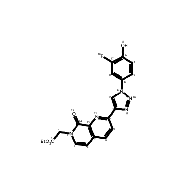 CCOC(=O)Cn1ccc2ccc(-c3cn(-c4ccc(O)c(F)c4)nn3)nc2c1=O